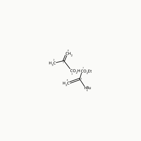 C=C(C)C(=O)O.C=C(CCCC)C(=O)OCC